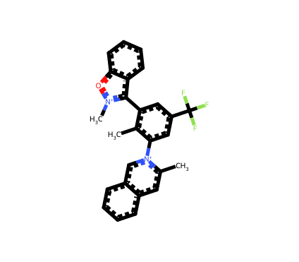 Cc1c(-c2c3ccccc3o[n+]2C)cc(C(F)(F)F)cc1-[n+]1cc2ccccc2cc1C